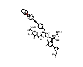 COC(=O)N[C@H](C(=O)N[C@H](C(=O)N[C@@H](Cc1ccc(C#Cc2cnc(N3CC4CCC(C3)N4C3COC3)nc2)cc1)[C@@H](O)CN(Cc1c(F)cc(-c2ccn(CC(F)F)n2)cc1F)NC(=O)[C@@H](NC(=O)OC)C(C)(C)C)C(C)(C)C)C(C)(C)C